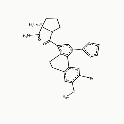 COc1cc2c(cc1Br)-c1c(-c3cccs3)cc(C(=O)N3CCC[C@]3(C)C(N)=O)n1CC2